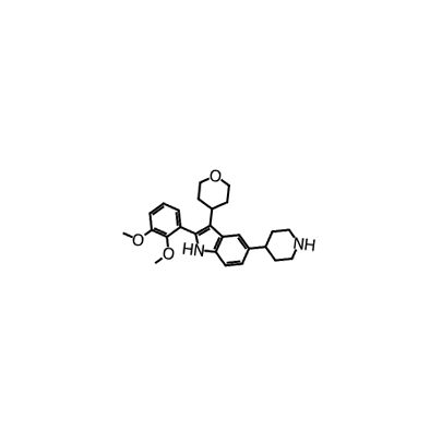 COc1cccc(-c2[nH]c3ccc(C4CCNCC4)cc3c2C2CCOCC2)c1OC